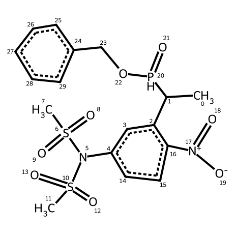 CC(c1cc(N(S(C)(=O)=O)S(C)(=O)=O)ccc1[N+](=O)[O-])[PH](=O)OCc1ccccc1